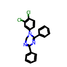 Clc1ccc(N2CN=C(c3ccccc3)N=C2c2ccccc2)cc1Cl